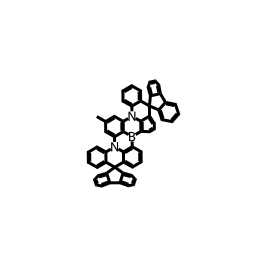 Cc1cc2c3c(c1)N1c4ccccc4C4(c5ccccc5-c5ccccc54)c4cccc(c41)B3c1cccc3c1N2c1ccccc1C31c2ccccc2-c2ccccc21